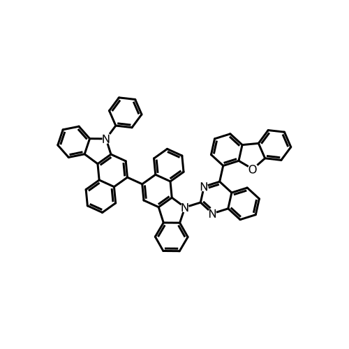 c1ccc(-n2c3ccccc3c3c4ccccc4c(-c4cc5c6ccccc6n(-c6nc(-c7cccc8c7oc7ccccc78)c7ccccc7n6)c5c5ccccc45)cc32)cc1